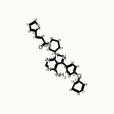 Nc1ncnc2c1c(-c1ccc(Oc3ccccc3)cc1)nn2C1CCCN(C(=O)C=Cc2cccs2)C1